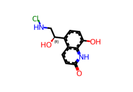 O=c1ccc2c([C@@H](O)CNCl)ccc(O)c2[nH]1